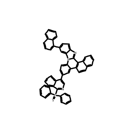 S=P(c1ccccc1)(c1ccccc1)c1ncc(-c2ccc3c(c2)c2ccc4ccccc4c2c2nc4ccc(-c5cccc6ccccc56)cc4n32)c2ccccc12